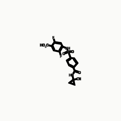 N#CC1(NC(=O)c2ccc(S(=O)(=O)Nc3cc(F)c(C(=O)O)cc3F)cc2)CC1